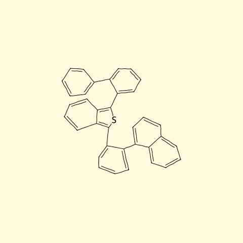 c1ccc(-c2ccccc2-c2sc(-c3ccccc3-c3cccc4ccccc34)c3ccccc23)cc1